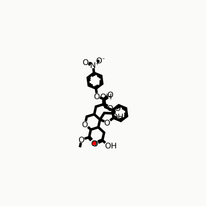 COC(=O)C1OCC(CC(=O)O)C(CC(=O)O)(Oc2ccccc2CC(=O)Oc2ccc([N+](=O)[O-])cc2)C1CC(=O)O